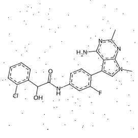 Cc1nc(N)c2c(-c3ccc(NC(=O)C(O)c4ccccc4Cl)cc3F)cn(C)c2n1